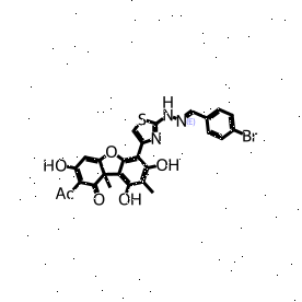 CC(=O)C1=C(O)C=C2Oc3c(-c4csc(N/N=C/c5ccc(Br)cc5)n4)c(O)c(C)c(O)c3C2(C)C1=O